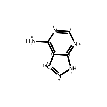 Nc1ncnc2[nH]n[14cH]c12